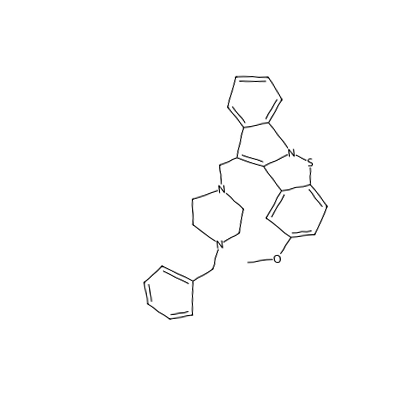 COc1ccc2sn3c4ccccc4c(CN4CCN(Cc5ccccc5)CC4)c3c2c1